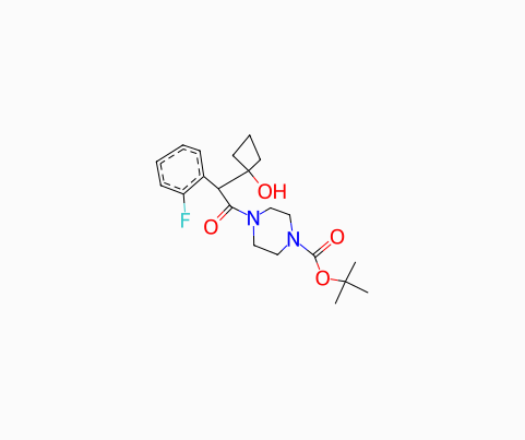 CC(C)(C)OC(=O)N1CCN(C(=O)C(c2ccccc2F)C2(O)CCC2)CC1